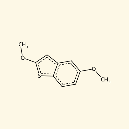 COc1ccc2sc(OC)cc2c1